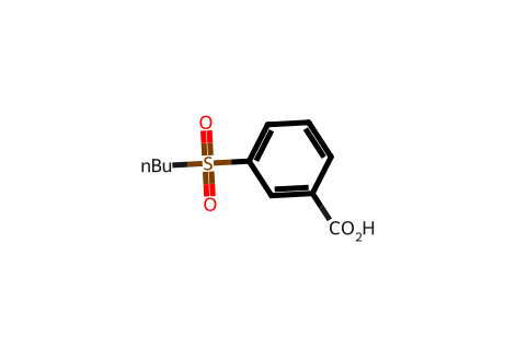 CCCCS(=O)(=O)c1cccc(C(=O)O)c1